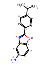 CC(C)c1ccc(-c2nc3cc(N)ccc3o2)cc1